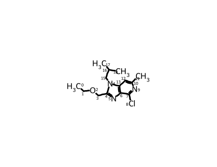 CCOCc1nc2c(Cl)nc(C)cc2n1CC(C)C